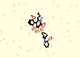 CCCCc1[nH]c(=O)c(S(=O)(=O)c2ccc(-n3ccccc3=O)cc2)c(O)c1-c1c(OC)cccc1OC